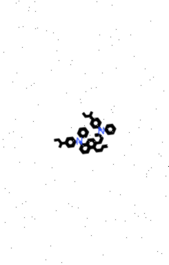 C=C/C=C\c1c(/C=C\C(=C)N(c2ccccc2)c2ccc(C(C)CC)cc2)ccc2c(N(c3ccccc3)c3ccc(C(C)CC)cc3)cccc12